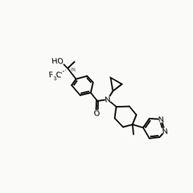 CC1(c2ccnnc2)CCC(N(C(=O)c2ccc([C@](C)(O)C(F)(F)F)cc2)C2CC2)CC1